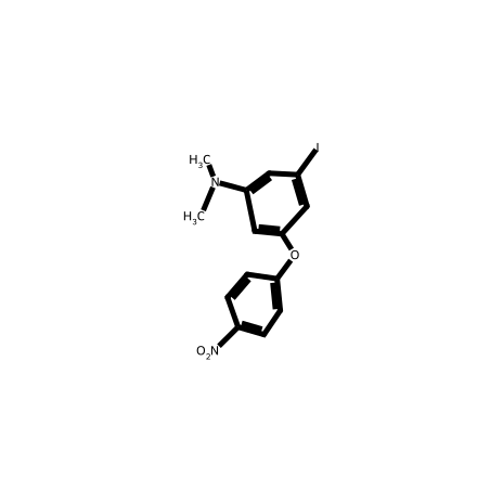 CN(C)c1cc(I)cc(Oc2ccc([N+](=O)[O-])cc2)c1